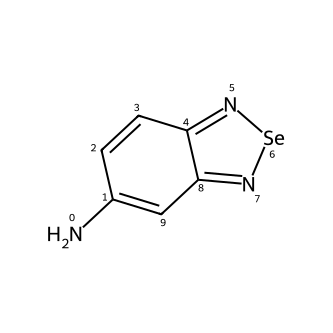 Nc1ccc2n[se]nc2c1